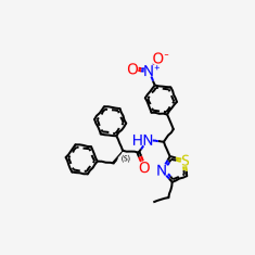 CCc1csc(C(Cc2ccc([N+](=O)[O-])cc2)NC(=O)[C@@H](Cc2ccccc2)c2ccccc2)n1